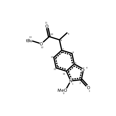 COn1c(=O)sc2cc(C(C)C(=O)OC(C)(C)C)ccc21